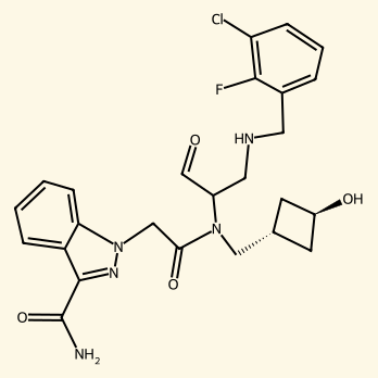 NC(=O)c1nn(CC(=O)N(C[C@H]2C[C@H](O)C2)C(C=O)CNCc2cccc(Cl)c2F)c2ccccc12